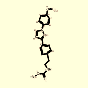 CC(C)(C)OC(=O)NCCc1ccc(-c2ncn(-c3ccc(OC(F)(F)F)cc3)n2)cc1